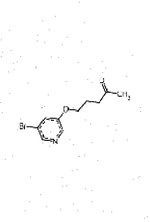 CC(=O)CCCOc1cncc(Br)c1